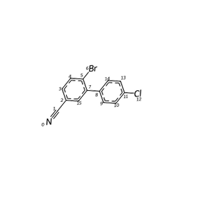 N#Cc1ccc(Br)c(-c2ccc(Cl)cc2)c1